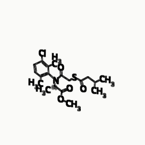 COC(=O)[C@H](C)N(C(=O)CSC(=O)CC(C)C)c1c(C)ccc(Cl)c1C